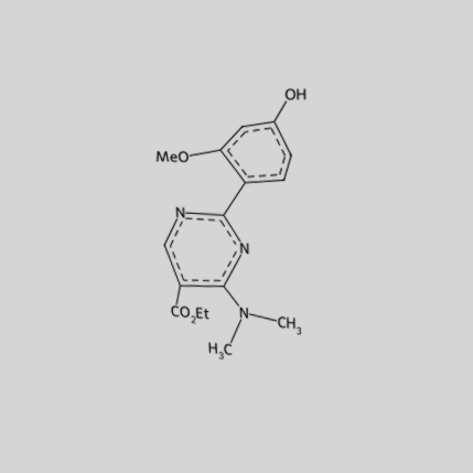 CCOC(=O)c1cnc(-c2ccc(O)cc2OC)nc1N(C)C